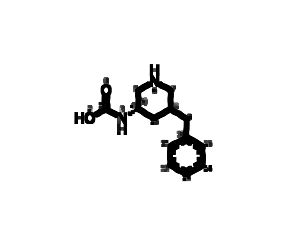 O=C(O)N[C@@H]1CNCC(Cc2ccccc2)C1